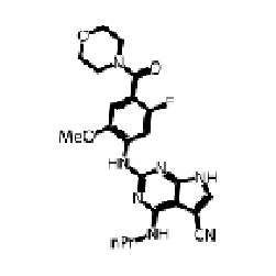 CCCNc1nc(Nc2cc(F)c(C(=O)N3CCOCC3)cc2OC)nc2[nH]cc(C#N)c12